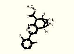 COC(=O)C1c2nnc(-c3c(F)cccc3F)cc2[C@@H]2CC[C@@H]1C2(C)C